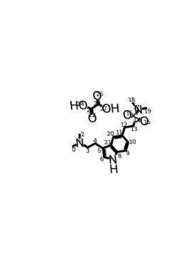 CN(C)CCc1c[nH]c2ccc(CCS(=O)(=O)N(C)C)cc12.O=C(O)C(=O)O